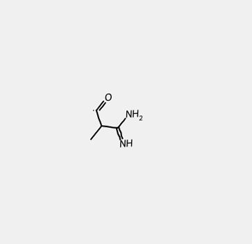 CC([C]=O)C(=N)N